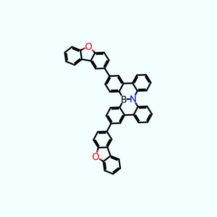 c1ccc2c(c1)-c1cc(-c3ccc4oc5ccccc5c4c3)ccc1B1c3ccc(-c4ccc5oc6ccccc6c5c4)cc3-c3ccccc3N12